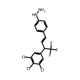 NNc1ccc(C=CC(c2cc(Cl)c(Cl)c(Cl)c2)C(F)(F)F)cc1